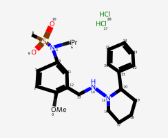 COc1ccc(N(C(C)C)S(C)(=O)=O)cc1CNN1CCCCC1c1ccccc1.Cl.Cl